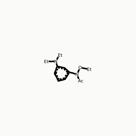 CCON(C(C)=O)c1cccc(N(CC)CC)c1